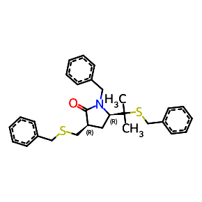 CC(C)(SCc1ccccc1)[C@H]1C[C@@H](CSCc2ccccc2)C(=O)N1Cc1ccccc1